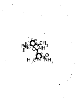 Cc1cc(C(=O)NC(C)c2cccc(OC(F)(F)F)c2)cc(C(N)=O)n1